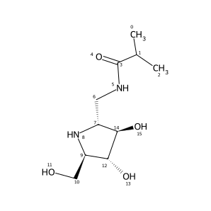 CC(C)C(=O)NC[C@H]1N[C@H](CO)[C@@H](O)[C@@H]1O